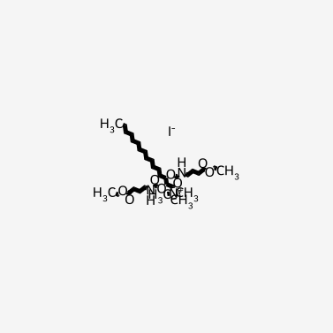 CCCCCCCCCCCCCC(OC(=O)NCCCC(=O)OCC)C(C[N+](C)(C)C)OC(=O)NCCCC(=O)OCC.[I-]